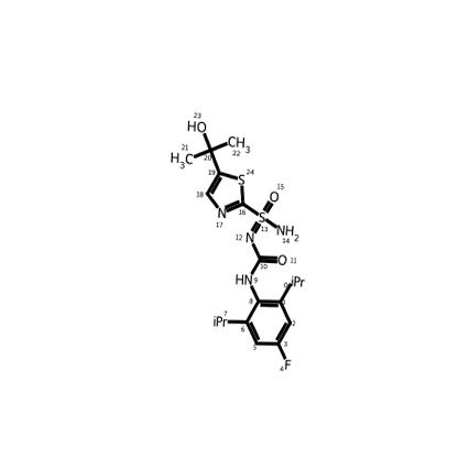 CC(C)c1cc(F)cc(C(C)C)c1NC(=O)N=S(N)(=O)c1ncc(C(C)(C)O)s1